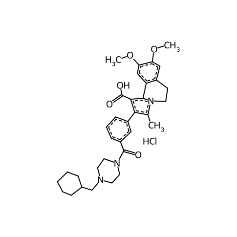 COc1cc2c(cc1OC)-c1c(C(=O)O)c(-c3cccc(C(=O)N4CCN(CC5CCCCC5)CC4)c3)c(C)n1CC2.Cl